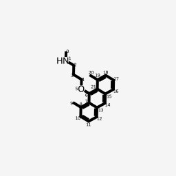 CNCCCOc1c2c(C)cccc2cc2cccc(C)c12